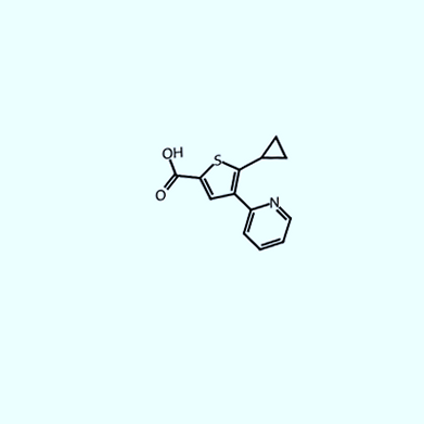 O=C(O)c1cc(-c2ccccn2)c(C2CC2)s1